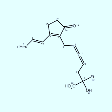 CCCCCC/C=C/C1=C(CC=C=CCC(O)(CC)C(=O)O)C(=O)CC1